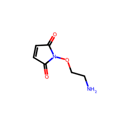 NCCON1C(=O)C=CC1=O